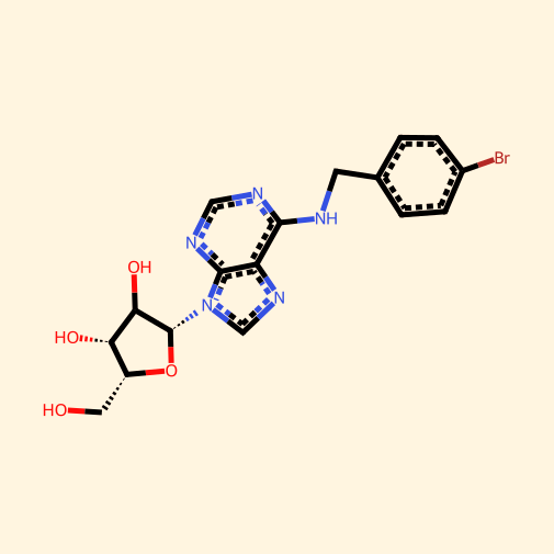 OC[C@H]1O[C@@H](n2cnc3c(NCc4ccc(Br)cc4)ncnc32)C(O)[C@H]1O